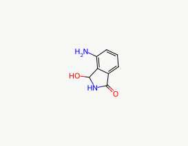 Nc1cccc2c1C(O)NC2=O